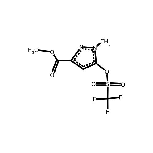 COC(=O)c1cc(OS(=O)(=O)C(F)(F)F)n(C)n1